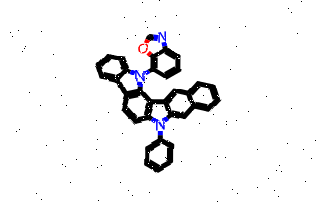 c1ccc(-n2c3cc4ccccc4cc3c3c2ccc2c4ccccc4n(-c4cccc5ncoc45)c23)cc1